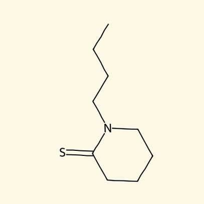 CCCCN1CCCCC1=S